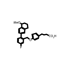 COC1CCCc2cc(-c3ccc(F)cc3COc3ccc(CCCC(=O)O)cc3)ccc21